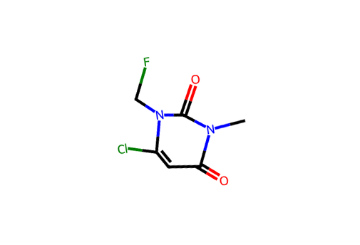 Cn1c(=O)cc(Cl)n(CF)c1=O